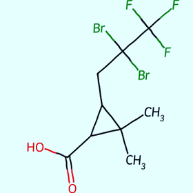 CC1(C)C(CC(Br)(Br)C(F)(F)F)C1C(=O)O